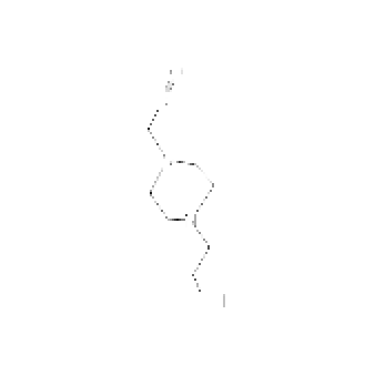 O=BCN1CCN(CCO)CC1